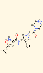 C[C@H]1CN(CC(=O)N2CCNCC2)C[C@H]1NC(=O)c1cc(C2CC2)on1